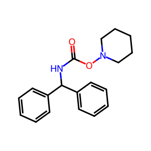 O=C(NC(c1ccccc1)c1ccccc1)ON1CCCCC1